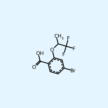 CC(Oc1cc(Br)ccc1C(=O)O)C(F)(F)F